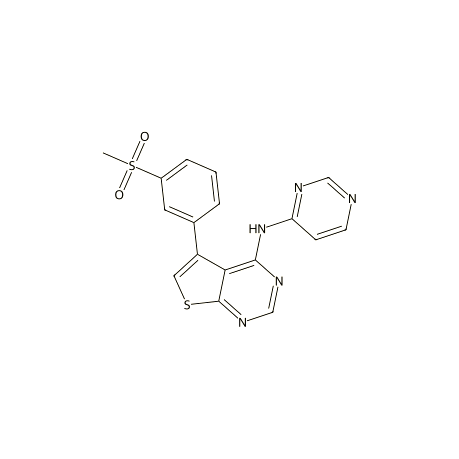 CS(=O)(=O)c1cccc(-c2csc3ncnc(Nc4ccncn4)c23)c1